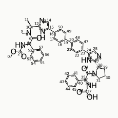 COC(=O)N[C@@H](C(=O)N(C)[C@@H](C)c1ncc(-c2ccc(-c3ccc(-c4cnc([C@@H]5CCCN5C(=O)[C@H](NC(=O)O)c5ccccc5)[nH]4)cc3)cc2)[nH]1)c1ccccc1